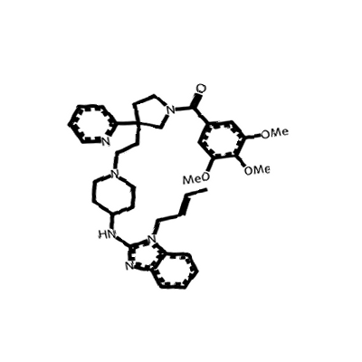 CC=CCn1c(NC2CCN(CCC3(c4ccccn4)CCN(C(=O)c4cc(OC)c(OC)c(OC)c4)C3)CC2)nc2ccccc21